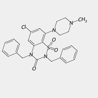 CN1CCN(c2cc(Cl)cc3c2S(=O)(=O)N(Cc2ccccc2)C(=O)N3Cc2ccccc2)CC1